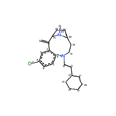 C=C1c2cc(Cl)ccc2N(CCC2CCCCC2)CCC2CCC1N2C